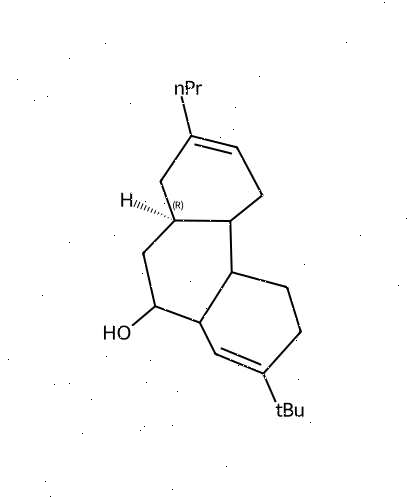 CCCC1=CCC2C3CCC(C(C)(C)C)=CC3C(O)C[C@H]2C1